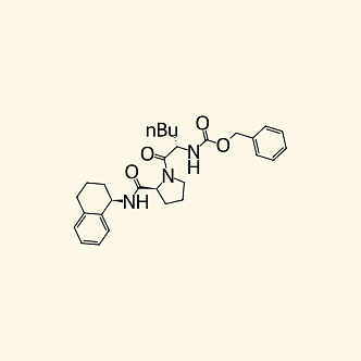 CCCC[C@H](NC(=O)OCc1ccccc1)C(=O)N1CCC[C@H]1C(=O)N[C@@H]1CCCc2ccccc21